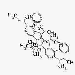 CCC(C)c1ccc2c(c1-c1ccccc1)C=C(CC(C)C)[CH]2[Zr]([Cl])([Cl])([CH]1C(CC(C)C)=Cc2c1ccc(C(C)CC)c2-c1ccccc1)[SiH](C)C